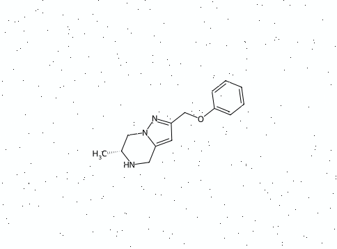 C[C@@H]1Cn2nc(COc3ccccc3)cc2CN1